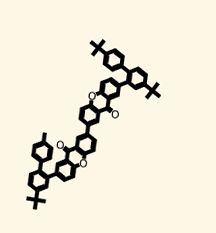 Cc1ccc(-c2ccc(C(C)(C)C)cc2-c2ccc3oc4ccc(-c5ccc6oc7ccc(-c8cc(C(C)(C)C)ccc8-c8ccc(C(C)(C)C)cc8)cc7c(=O)c6c5)cc4c(=O)c3c2)cc1